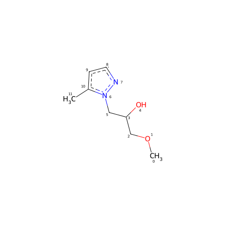 COCC(O)Cn1n[c]cc1C